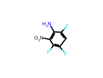 Nc1c(F)cc(F)c(F)c1[N+](=O)[O-]